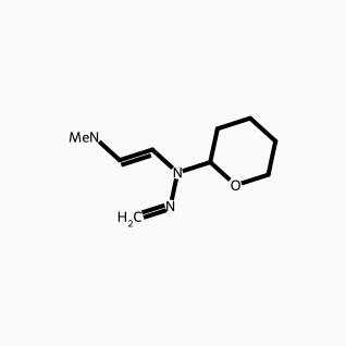 C=NN(/C=C/NC)C1CCCCO1